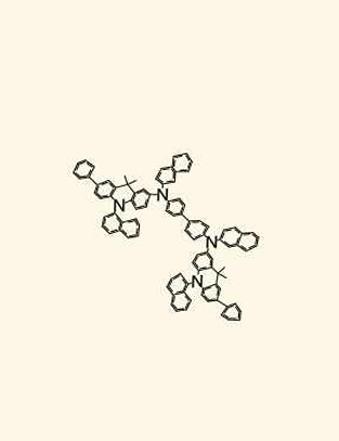 CC1(C)c2cc(-c3ccccc3)ccc2N(c2cccc3ccccc23)c2ccc(N(c3ccc(-c4ccc(N(c5ccc6c(c5)C(C)(C)c5cc(-c7ccccc7)ccc5N6c5cccc6ccccc56)c5ccc6ccccc6c5)cc4)cc3)c3ccc4ccccc4c3)cc21